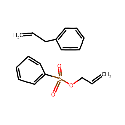 C=CCOS(=O)(=O)c1ccccc1.C=CCc1ccccc1